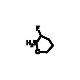 FC1CCCO[SiH2]1